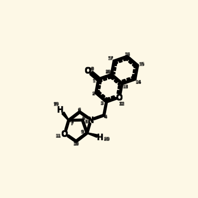 O=c1cc(CN2C[C@@H]3C[C@H]2CO3)oc2ccccc12